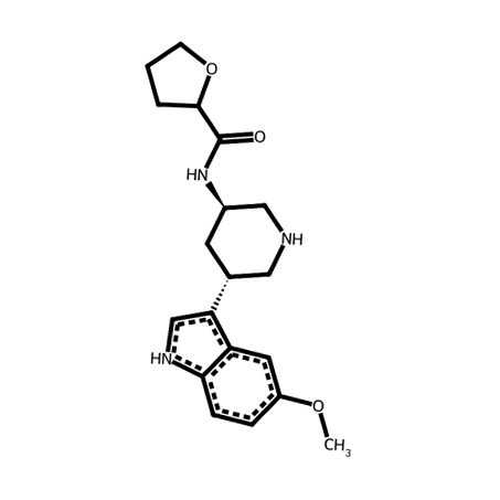 COc1ccc2[nH]cc([C@H]3CNC[C@H](NC(=O)C4CCCO4)C3)c2c1